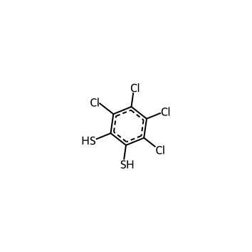 Sc1c(S)c(Cl)c(Cl)c(Cl)c1Cl